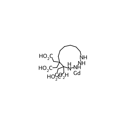 O=C(O)CC1(CC(=O)O)CCCCCCNNNNC1(CC(=O)O)CC(=O)O.[Gd]